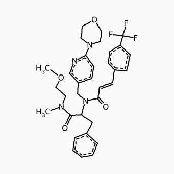 COCCN(C)C(=O)C(Cc1ccccc1)N(Cc1ccc(N2CCOCC2)nc1)C(=O)C=Cc1ccc(C(F)(F)F)cc1